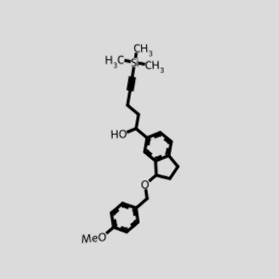 COc1ccc(COC2CCc3ccc(C(O)CCC#C[Si](C)(C)C)cc32)cc1